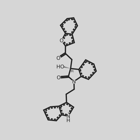 O=C(C[C@]1(O)C(=O)N(CCc2c[nH]c3ccccc23)c2ccccc21)c1cc2ccccc2o1